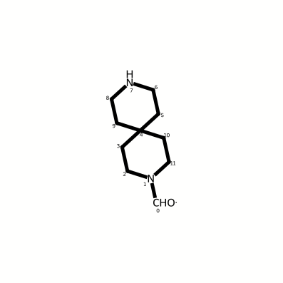 O=[C]N1CCC2(CCNCC2)CC1